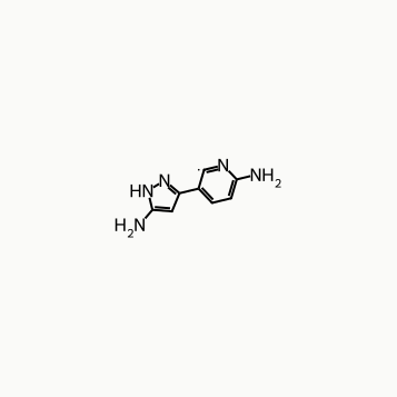 Nc1ccc(-c2cc(N)[nH]n2)[c]n1